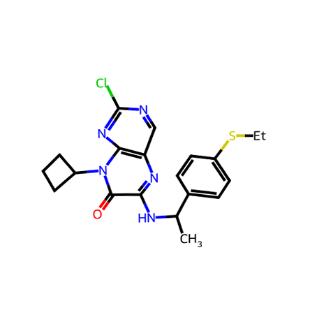 CCSc1ccc(C(C)Nc2nc3cnc(Cl)nc3n(C3CCC3)c2=O)cc1